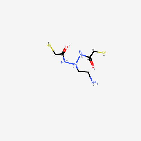 NCCN(NC(=O)CS)NC(=O)CS